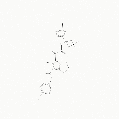 Cc1c(C(=O)Nc2ccc(F)cc2)c2n(c1C(=O)C(=O)NC1(c3cn(C)nn3)CC(F)(F)C1)CCC2